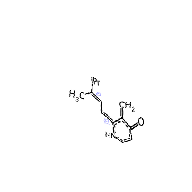 C=c1c(=O)cc[nH]/c1=C/C=C(\C)C(C)C